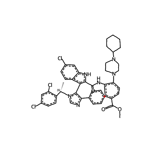 COC(=O)c1ccc(N2CCN(C3CCCCC3)CC2)c(NC(=O)c2[nH]c3cc(Cl)ccc3c2-c2c(-c3ccccc3)ncn2[C@@H](C)c2ccc(Cl)cc2Cl)c1